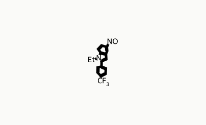 CCn1c(-c2ccc(C(F)(F)F)cc2)cc2cc(N=O)ccc21